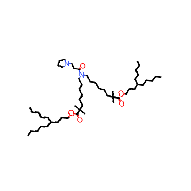 CCCCCC(CCCCC)CCCOC(=O)C(C)(C)CCCCCCN(CCCCCCC(C)(C)C(=O)OCCCC(CCCCC)CCCCC)C(=O)CCN1CCCC1